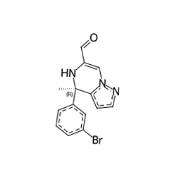 C[C@]1(c2cccc(Br)c2)NC(C=O)=Cn2nccc21